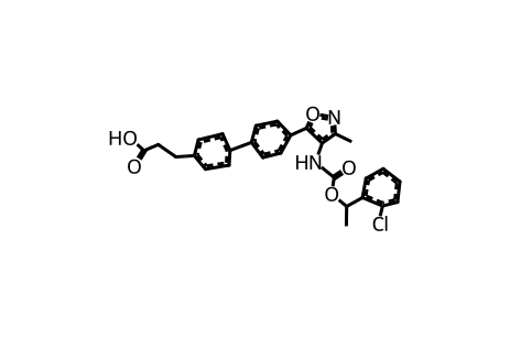 Cc1noc(-c2ccc(-c3ccc(CCC(=O)O)cc3)cc2)c1NC(=O)OC(C)c1ccccc1Cl